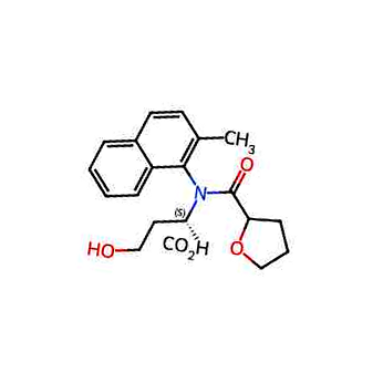 Cc1ccc2ccccc2c1N(C(=O)C1CCCO1)[C@@H](CCO)C(=O)O